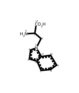 NC(Cn1ccc2ccccc21)C(=O)O